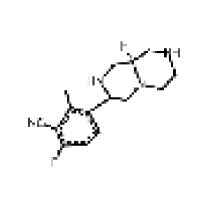 Cc1c(C2CN3CCNC[C@@H]3CN2)ccc(F)c1C#N